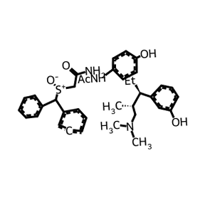 CC(=O)Nc1ccc(O)cc1.CC[C@@H](c1cccc(O)c1)[C@@H](C)CN(C)C.NC(=O)C[S+]([O-])C(c1ccccc1)c1ccccc1